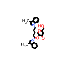 Cc1cn(CCCCC(Oc2coc(CO)cc2=O)n2cc(C)c3ccccc32)c2ccccc12